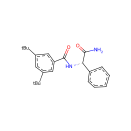 CC(C)(C)c1cc(C(=O)N[C@H](C(N)=O)c2ccccc2)cc(C(C)(C)C)c1